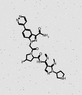 C=N/C(NC(=O)C1CC(F)CN1C(=O)Cn1nc(C(N)=O)c2cc(-c3ccnnc3)ccc21)=C1/C=NN(C2CCNC2)/C1=N/C